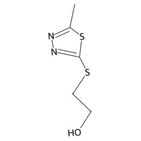 Cc1nnc(SCCO)s1